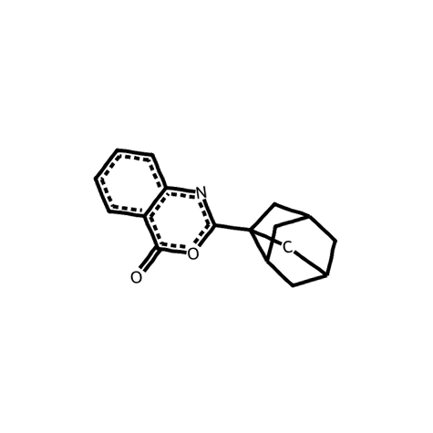 O=c1oc(C23CC4CC(CC2C4)C3)nc2ccccc12